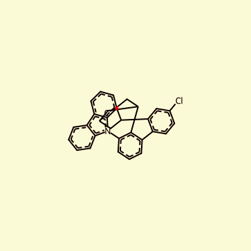 Clc1ccc2c(c1)C1(c3c-2cccc3-n2c3ccccc3c3ccccc32)C2CC3CC(C2)C1C3